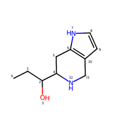 CCC(O)C1Cc2[nH]ccc2CN1